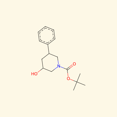 CC(C)(C)OC(=O)N1CC(O)CC(c2ccccc2)C1